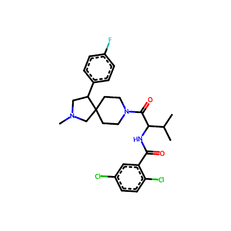 CC(C)C(NC(=O)c1cc(Cl)ccc1Cl)C(=O)N1CCC2(CC1)CN(C)CC2c1ccc(F)cc1